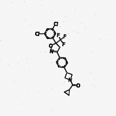 O=C(C1CC1)N1CC(c2ccc(C3=NOC(c4cc(Cl)cc(Cl)c4)(C(F)(F)F)C3)cc2)C1